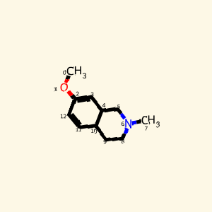 COC1=CC2CN(C)CCC2C=C1